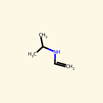 C=CNC(C)C